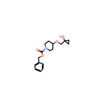 O=C(OCc1ccccc1)N1CCC(OCC2(O)CC2)CC1